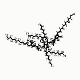 CCCCCCCCCCCCc1cc(-c2cnc(C3=C4C(=O)N(CC(CCCCCC)CCCCCCCC)C(c5ncc(-c6cc(CCCCCCCCCCCC)c(Br)s6)s5)=C4C(=O)N3CC(CCCCCC)CCCCCCCC)s2)sc1C